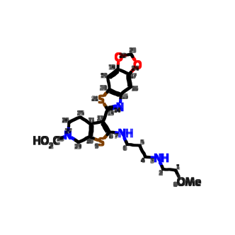 COCCNCCCNc1sc2c(c1-c1nc3cc4c(cc3s1)OCO4)CCN(C(=O)O)C2